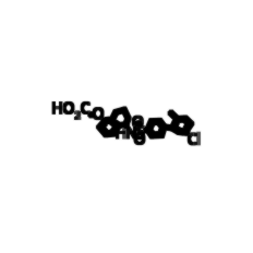 Cc1ccc(Cl)cc1-c1ccc(S(=O)(=O)NC2CCCc3c(OCC(=O)O)cccc32)cc1